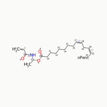 C=CC(=O)NC(C)OC(=O)CCCCCCC/C=C\C/C=C\CCCCC